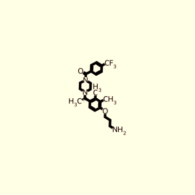 Cc1c(OCCCN)ccc([C@@H](C)N2CCN(C(=O)c3ccc(C(F)(F)F)cc3)CC2)c1C